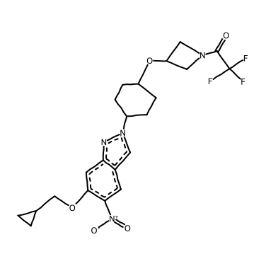 O=C(N1CC(OC2CCC(n3cc4cc([N+](=O)[O-])c(OCC5CC5)cc4n3)CC2)C1)C(F)(F)F